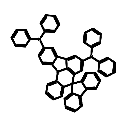 c1ccc(N(c2ccccc2)c2ccc3c(c2)c2cc(N(c4ccccc4)c4ccccc4)cc4c2n3-c2ccccc2C42c3ccccc3-c3ccccc32)cc1